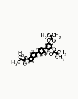 C=C(C)C(=O)Oc1cc(OC(=O)C(=C)C)cc(-c2ccc(-c3ccc4c(c3)CCC4OC(=O)C(=C)C)cc2F)c1